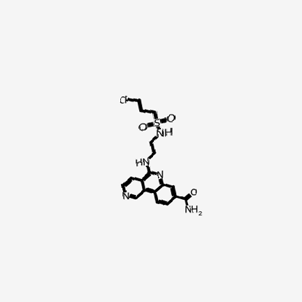 NC(=O)c1ccc2c(c1)nc(NCCNS(=O)(=O)CCCCl)c1ccncc12